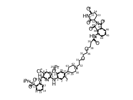 Cc1cc(Nc2ncc(Cl)c(Nc3ccccc3S(=O)(=O)C(C)C)n2)c(OC(C)C)cc1C1CCN(CCOCCOCCC(=O)Nc2cccc3c2C(=O)N(C2CCC(=O)NC2=O)C3=O)CC1